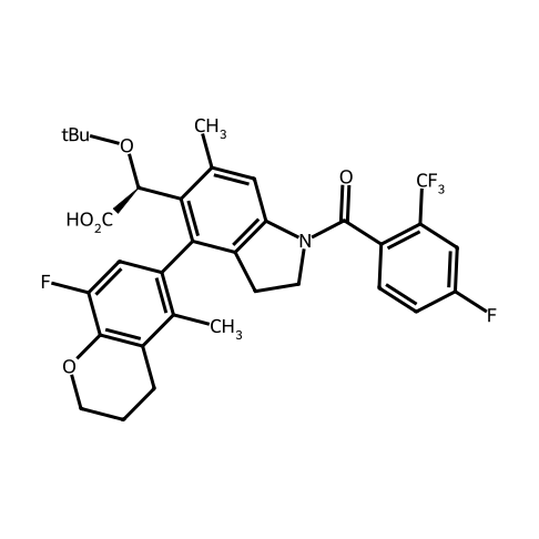 Cc1cc2c(c(-c3cc(F)c4c(c3C)CCCO4)c1[C@H](OC(C)(C)C)C(=O)O)CCN2C(=O)c1ccc(F)cc1C(F)(F)F